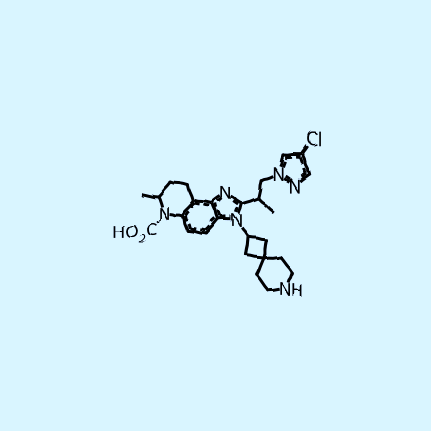 CC(Cn1cc(Cl)cn1)c1nc2c3c(ccc2n1C1CC2(CCNCC2)C1)N(C(=O)O)C(C)CC3